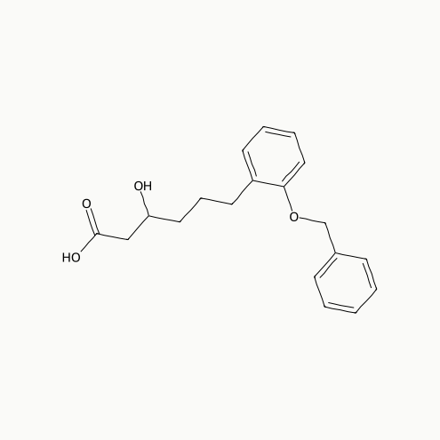 O=C(O)CC(O)CCCc1ccccc1OCc1ccccc1